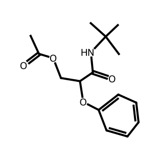 CC(=O)OCC(Oc1ccccc1)C(=O)NC(C)(C)C